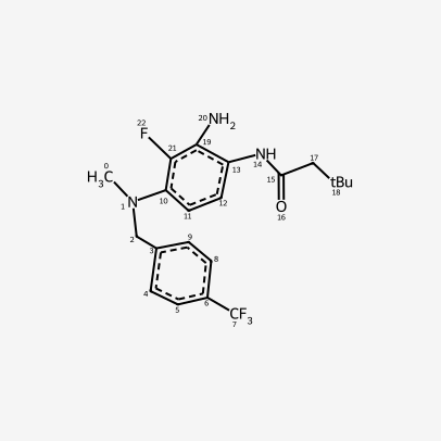 CN(Cc1ccc(C(F)(F)F)cc1)c1ccc(NC(=O)CC(C)(C)C)c(N)c1F